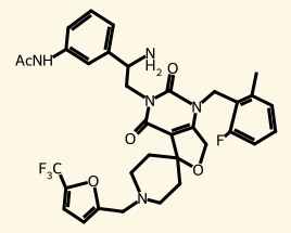 CC(=O)Nc1cccc(C(N)Cn2c(=O)c3c(n(Cc4c(C)cccc4F)c2=O)COC32CCN(Cc3ccc(C(F)(F)F)o3)CC2)c1